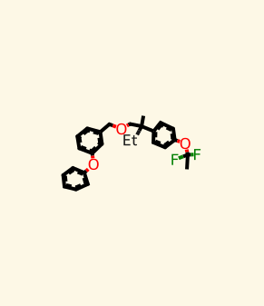 CCC(C)(COCc1cccc(Oc2ccccc2)c1)c1ccc(OC(C)(F)F)cc1